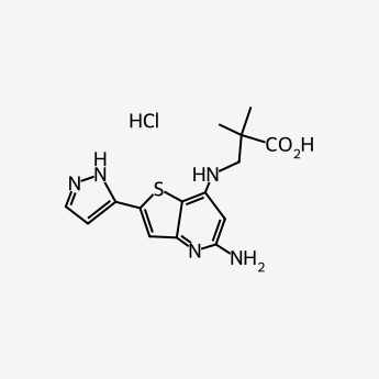 CC(C)(CNc1cc(N)nc2cc(-c3ccn[nH]3)sc12)C(=O)O.Cl